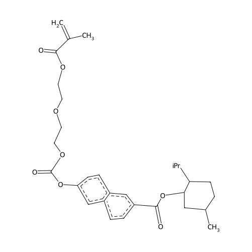 C=C(C)C(=O)OCCOCCOC(=O)Oc1ccc2cc(C(=O)OC3CC(C)CCC3C(C)C)ccc2c1